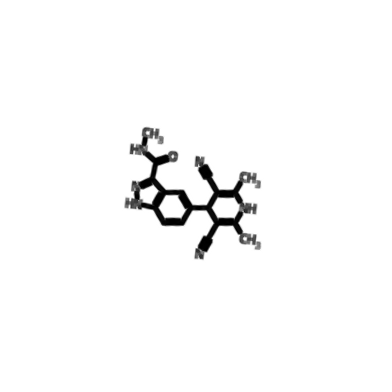 CNC(=O)c1n[nH]c2ccc(C3C(C#N)=C(C)NC(C)=C3C#N)cc12